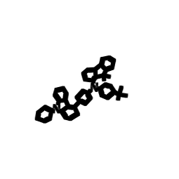 CC(C)(C)c1ccc(N(c2ccc(-c3cccc4c3c3ccccc3n4-c3ccccc3)cc2)c2cccc3c2C(C)(C)c2ccccc2-3)cc1